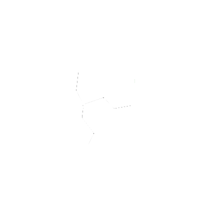 CCC[Si](CCC)CCC.F